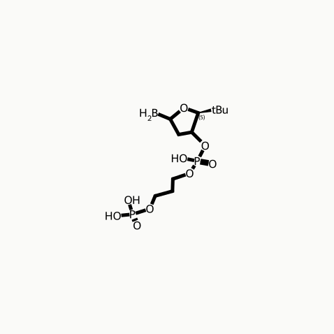 BC1CC(OP(=O)(O)OCCCOP(=O)(O)O)[C@H](C(C)(C)C)O1